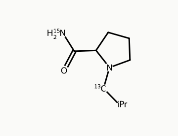 [13CH3][13CH]([13CH3])[13CH2]N1CCCC1C([15NH2])=O